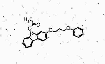 CC(=O)On1c2ccccc2c2ccc(OCCCOc3ccccc3)cc21